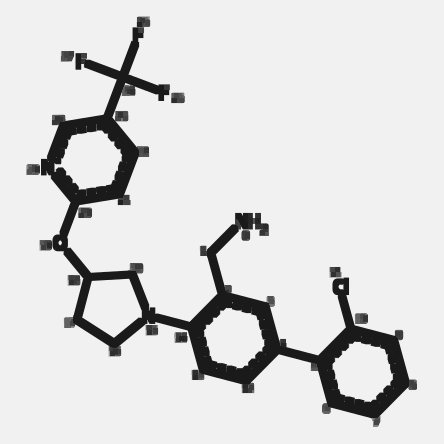 NCc1cc(-c2ccccc2Cl)ccc1N1CCC(Oc2ccc(C(F)(F)F)cn2)C1